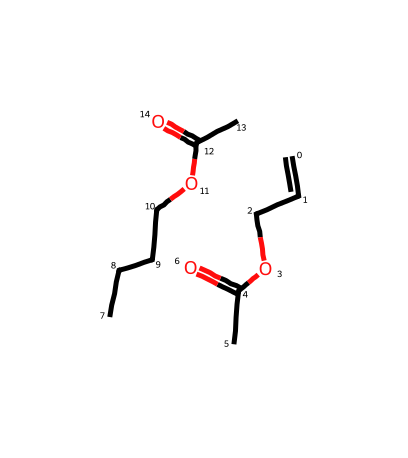 C=CCOC(C)=O.CCCCOC(C)=O